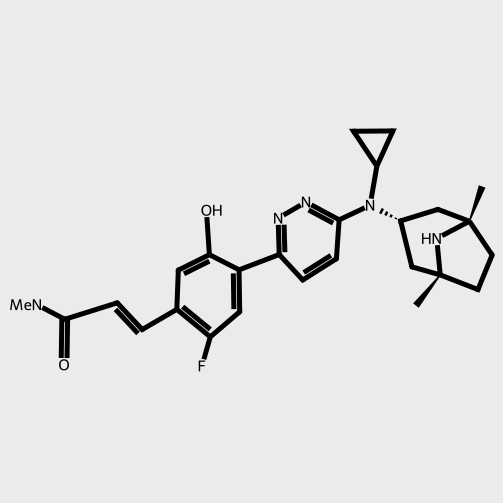 CNC(=O)/C=C/c1cc(O)c(-c2ccc(N(C3CC3)[C@@H]3C[C@]4(C)CC[C@](C)(C3)N4)nn2)cc1F